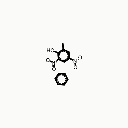 Cc1cc([N+](=O)[O-])cc([N+](=O)[O-])c1O.c1ccccc1